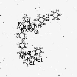 CCN(CC)[C@@H](C(=O)N1CCC[C@H]1c1ncc(-c2ccc(-c3ccc(C4CN=C([C@@H]5CCCN5C(=O)[C@H](Cc5ccc(OCc6ccccc6)cc5)NC(=O)OC)N4)cc3)cc2)[nH]1)c1ccccc1